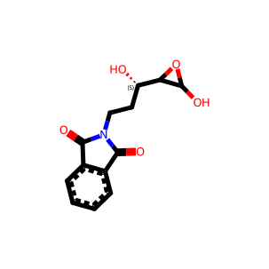 O=C1c2ccccc2C(=O)N1CC[C@H](O)C1OC1O